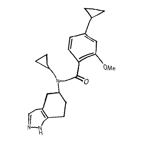 COc1cc(C2CC2)ccc1C(=O)N(C1CC1)C1CCc2[nH]ncc2C1